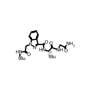 CC(C)(C)NC(=O)Cn1nc(C(=O)N[C@H](C(=O)NCC(N)=O)C(C)(C)C)c2ccccc21